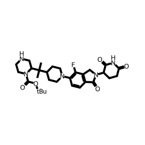 CC(C)(C)OC(=O)N1CCNCC1C(C)(C)C1CCN(c2ccc3c(c2F)CN(C2CCC(=O)NC2=O)C3=O)CC1